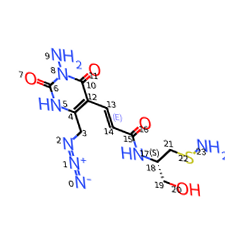 [N-]=[N+]=NCc1[nH]c(=O)n(N)c(=O)c1/C=C/C(=O)N[C@@H](CO)CSN